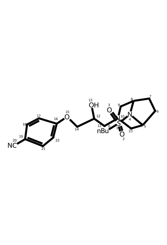 CCCCS(=O)(=O)N1C2CCC1CN(CC(O)COc1ccc(C#N)cc1)C2